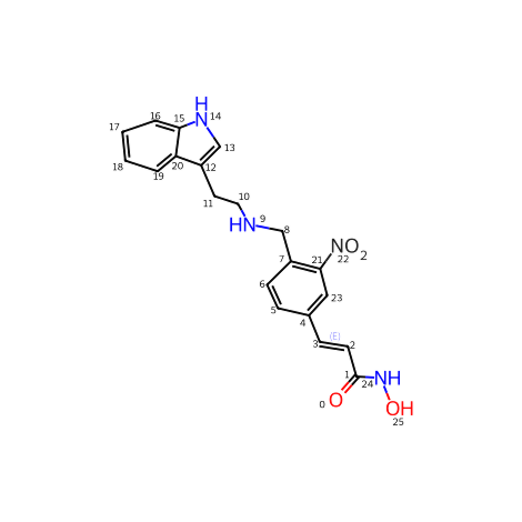 O=C(/C=C/c1ccc(CNCCc2c[nH]c3ccccc23)c([N+](=O)[O-])c1)NO